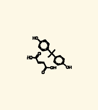 CC(C)(c1ccc(O)cc1)c1ccc(O)cc1.O=C(O)C=CC(=O)O